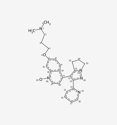 CN(C)CCCOc1ccc2c(-c3c(-c4ccccn4)nn4c3CCC4)cc[n+]([O-])c2c1